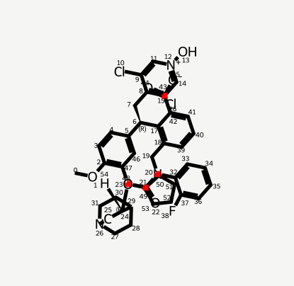 COc1ccc([C@@H](Cc2c(Cl)c[n+](O)cc2Cl)c2c(CN(C(=O)O[C@H]3CN4CCC3CC4)c3ccccc3F)cccc2C(=O)[O-])cc1OC1CCCC1